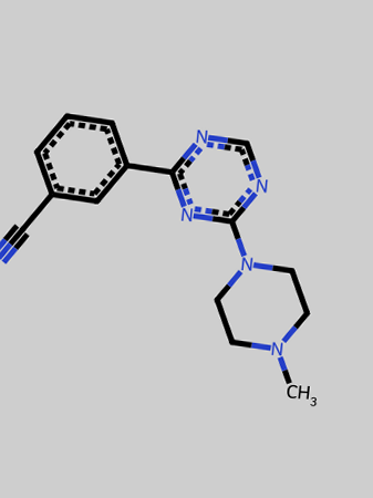 CN1CCN(c2ncnc(-c3cccc(C#N)c3)n2)CC1